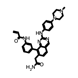 C=CC(=O)Nc1cccc(-c2c(CC(N)=O)ccc3cnc(Nc4ccc(N5CCN(C)CC5)cc4)nc23)c1